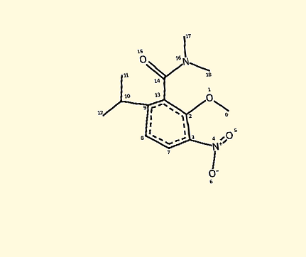 COc1c([N+](=O)[O-])ccc(C(C)C)c1C(=O)N(C)C